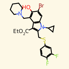 CCOC(=O)c1c(CSc2ccc(F)c(F)c2)n(C2CC2)c2cc(Br)c(O)c(CN3CCCCC3)c12